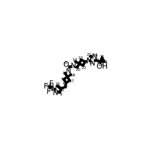 O=C(N1CC2(CC(Cc3cnn(C(F)(F)F)c3)C2)C1)N1CC2(CC(n3cnc(C4(O)CC4)n3)C2)C1